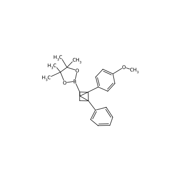 COc1ccc(C2C3(B4OC(C)(C)C(C)(C)O4)CC2(c2ccccc2)C3)cc1